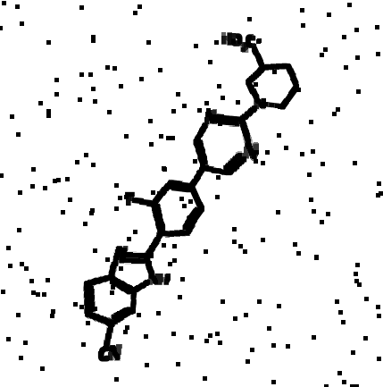 N#Cc1ccc2nc(-c3ccc(-c4cnc(N5CCCC(C(=O)O)C5)nc4)cc3F)[nH]c2c1